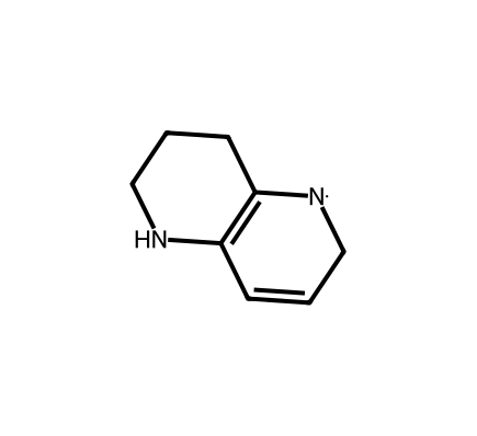 C1=CC2=C(CCCN2)[N]C1